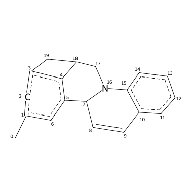 Cc1cc2c3c(c1)C1C=Cc4ccccc4N1CC3C2